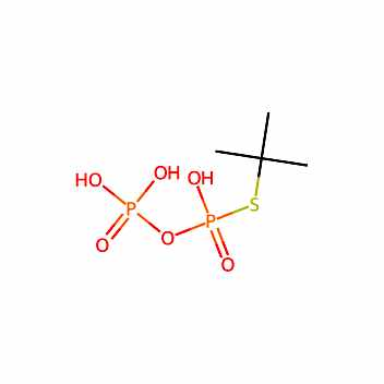 CC(C)(C)SP(=O)(O)OP(=O)(O)O